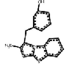 Cc1nc2sc3ccccc3n2c1Cc1cccc(O)c1